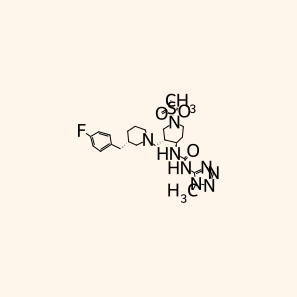 Cn1nnnc1NC(=O)N[C@@H]1CCN(S(C)(=O)=O)C[C@H]1CN1CCC[C@@H](Cc2ccc(F)cc2)C1